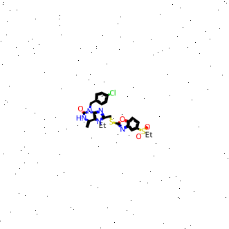 C=C1NC(=O)N(Cc2ccc(Cl)cc2)c2nc(CSc3nc4cc(S(=O)(=O)CC)ccc4o3)n(CC)c21